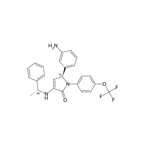 C[C@@H](NC1=C[C@@H](c2cccc(N)c2)N(c2ccc(OC(F)(F)F)cc2)C1=O)c1ccccc1